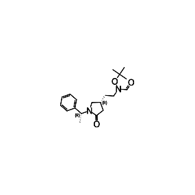 C[C@H](c1ccccc1)N1C[C@H](CCN(C=O)OC(C)(C)C)CC1=O